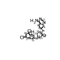 Nc1ncnc2cc(CN3CCN(Cc4cc5cc(Cl)cc(Cl)c5[nH]4)CC3=O)ccc12